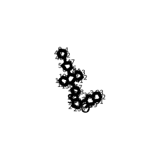 c1ccc(-c2ccc(-c3c4ccccc4c(-c4ccc5c(c4)sc4ccc6oc7cc8ccccc8cc7c6c45)c4ccccc34)cc2)cc1